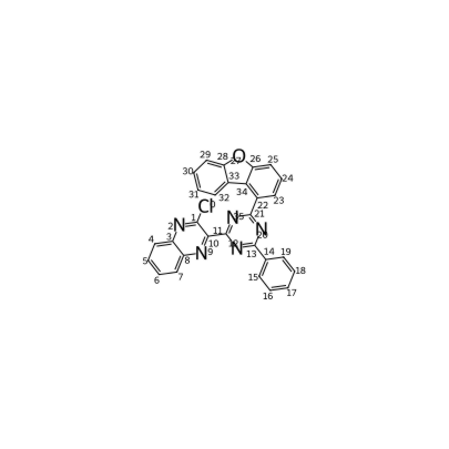 Clc1nc2ccccc2nc1-c1nc(-c2ccccc2)nc(-c2cccc3oc4ccccc4c23)n1